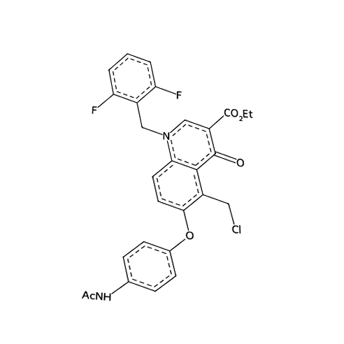 CCOC(=O)c1cn(Cc2c(F)cccc2F)c2ccc(Oc3ccc(NC(C)=O)cc3)c(CCl)c2c1=O